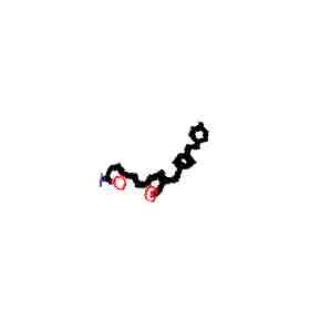 CC1CCC(CCc2ccc(CC3CCC(CCC4CCC(I)CO4)OC3)cc2)CC1